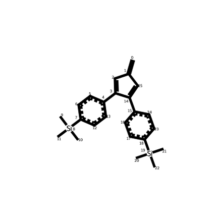 C=C1[C]=C(c2ccc([Si](C)(C)C)cc2)C(c2ccc([Si](C)(C)C)cc2)=C1